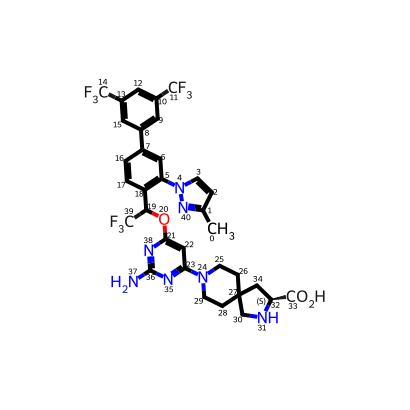 Cc1ccn(-c2cc(-c3cc(C(F)(F)F)cc(C(F)(F)F)c3)ccc2C(Oc2cc(N3CCC4(CC3)CN[C@H](C(=O)O)C4)nc(N)n2)C(F)(F)F)n1